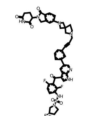 O=C1CCC(N2Cc3cc(N4CC5(CCN(CC#Cc6cccc(-c7cnc8[nH]cc(C(=O)c9c(F)ccc(NS(=O)(=O)N%10CC[C@@H](F)C%10)c9F)c8c7)c6)C5)C4)ccc3C2=O)C(=O)N1